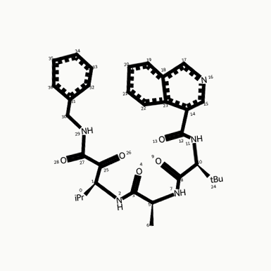 CC(C)[C@H](NC(=O)[C@H](C)NC(=O)[C@@H](NC(=O)c1cncc2ccccc12)C(C)(C)C)C(=O)C(=O)NCc1ccccc1